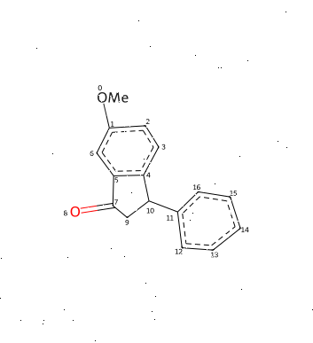 COc1ccc2c(c1)C(=O)CC2c1ccccc1